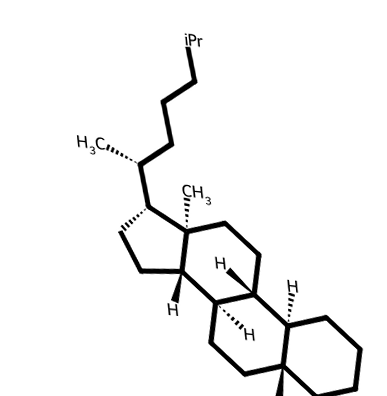 CC(C)CCC[C@@H](C)[C@H]1CC[C@H]2[C@@H]3CC[C@H]4CCCC[C@@H]4[C@H]3CC[C@]12C